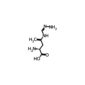 C=C(C[C@H](N)C(=O)O)N/C=N\N